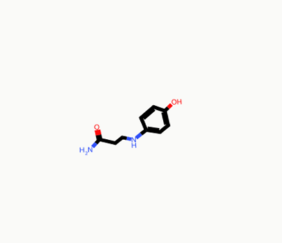 NC(=O)CCNc1ccc(O)cc1